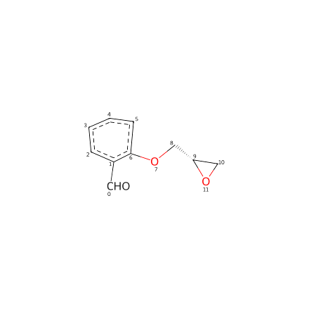 O=Cc1ccccc1OC[C@@H]1CO1